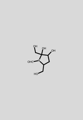 O=CN1C(CO)CC(O)C1(O)CO